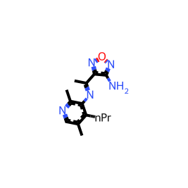 CCCc1c(C)cnc(C)c1/N=C(\C)c1nonc1N